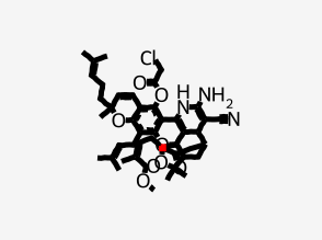 COC(=O)/C(C)=C\CC12OC(C)(C)C3CC(C1=O)C1C(C#N)=C(N)NC4=C1C32Oc1c(CC=C(C)C)c2c(c(OC(=O)CCl)c14)C=CC(C)(CCC=C(C)C)O2